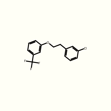 FC(F)(F)c1c[c]cc(OCCc2cccc(Cl)c2)c1